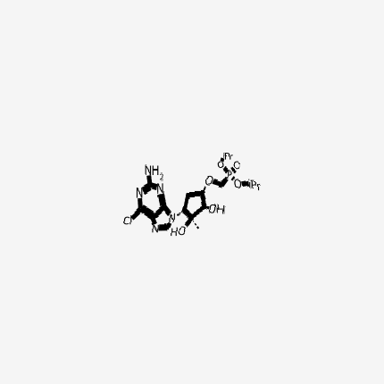 CC(C)OP(=O)(CO[C@H]1C[C@@H](n2cnc3c(Cl)nc(N)nc32)[C@](C)(O)[C@@H]1O)OC(C)C